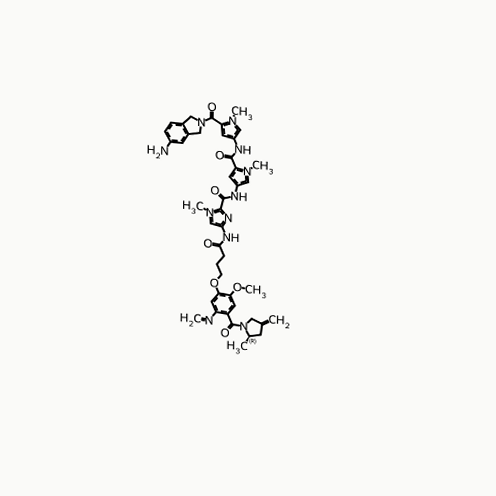 C=Nc1cc(OCCCC(=O)Nc2cn(C)c(C(=O)Nc3cc(C(=O)Nc4cc(C(=O)N5Cc6ccc(N)cc6C5)n(C)c4)n(C)c3)n2)c(OC)cc1C(=O)N1CC(=C)C[C@H]1C